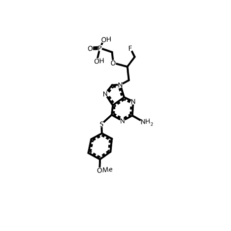 COc1ccc(Sc2nc(N)nc3c2ncn3CC(CF)OCP(=O)(O)O)cc1